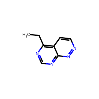 CCc1ncnc2nnccc12